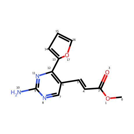 COC(=O)C=Cc1cnc(N)nc1-c1ccco1